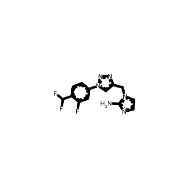 Nc1nccn1Cc1cn(-c2ccc(C(F)F)c(F)c2)nn1